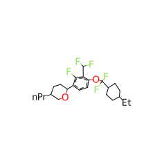 CCCC1CCC(c2ccc(OC(F)(F)C3CCC(CC)CC3)c(C(F)F)c2F)OC1